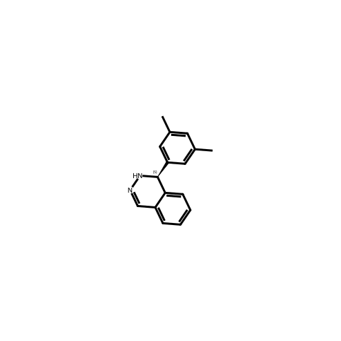 Cc1cc(C)cc([C@@H]2NN=Cc3ccccc32)c1